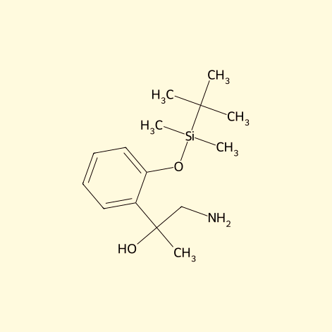 CC(O)(CN)c1ccccc1O[Si](C)(C)C(C)(C)C